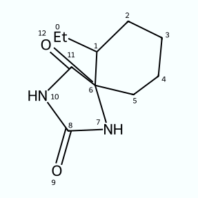 CCC1CCCCC12NC(=O)NC2=O